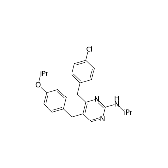 CC(C)Nc1ncc(Cc2ccc(OC(C)C)cc2)c(Cc2ccc(Cl)cc2)n1